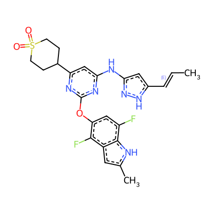 C/C=C/c1cc(Nc2cc(C3CCS(=O)(=O)CC3)nc(Oc3cc(F)c4[nH]c(C)cc4c3F)n2)n[nH]1